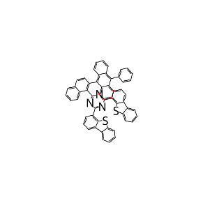 c1ccc(-c2c3ccccc3c(-c3ccc4ccccc4c3-c3nc(-c4cccc5c4sc4ccccc45)nc(-c4cccc5c4sc4ccccc45)n3)c3ccccc23)cc1